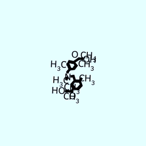 Cc1cc(C(=O)C(C)(C)O)ccc1CN(C)Cc1cc(C(=O)C(C)(C)O)ccc1C